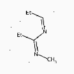 CC/C=N\C(CC)=N/C